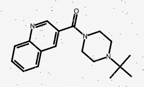 CC(C)(C)N1CCN(C(=O)c2cnc3ccccc3c2)CC1